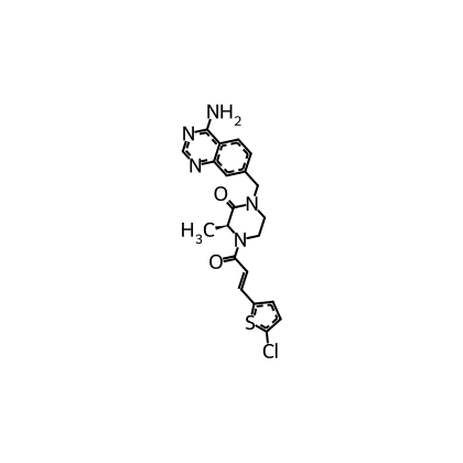 C[C@H]1C(=O)N(Cc2ccc3c(N)ncnc3c2)CCN1C(=O)/C=C/c1ccc(Cl)s1